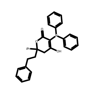 CC(C)C1(CCc2ccccc2)CC(O)=C(N(c2ccccc2)c2ccccc2)C(=O)O1